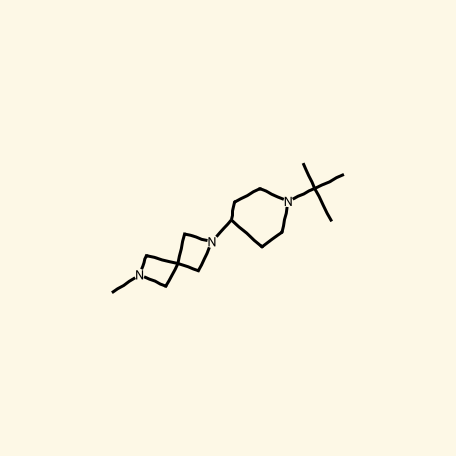 CN1CC2(C1)CN(C1CCN(C(C)(C)C)CC1)C2